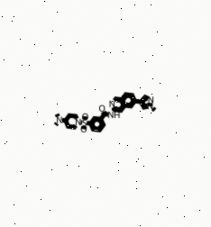 CN(C)C1CCN(S(=O)(=O)c2cccc(C(=O)Nc3cc4cc(-c5cnn(C)c5)ccc4cn3)c2)CC1